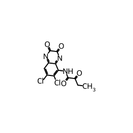 CCC(=O)C(=O)Nc1c(Cl)c(Cl)cc2c1=NC(=O)C(=O)N=2